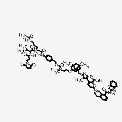 Cc1c(-c2ccc(N3CCc4cccc(C(=O)Nc5nc6ccccc6s5)c4C3)nc2C(=O)O)cnn1CC12CC3(C)CC(C)(C1)CC(OCCN(C)C(=O)OCc1ccc(NC(=O)[C@H](CCCNC(N)=O)NC(=O)[C@@H](NC(=O)CCN4C(=O)C=CC4=O)C(C)C)cc1)(C3)C2